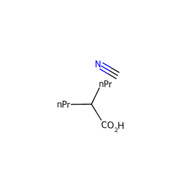 C#N.CCCC(CCC)C(=O)O